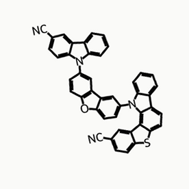 N#Cc1ccc2sc3ccc4c5ccccc5n(-c5ccc6oc7ccc(-n8c9ccccc9c9cc(C#N)ccc98)cc7c6c5)c4c3c2c1